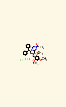 COc1cc(OC)c(CN2CC3CN(C(C)=O)CCN3C(C(c3ccccc3)c3ccccc3)C2)c(OC)c1.Cl.Cl